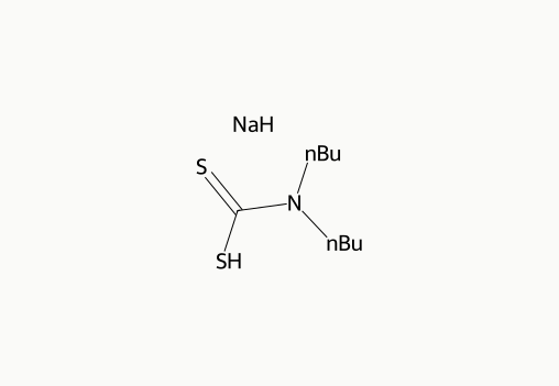 CCCCN(CCCC)C(=S)S.[NaH]